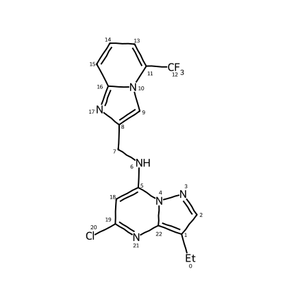 CCc1cnn2c(NCc3cn4c(C(F)(F)F)cccc4n3)cc(Cl)nc12